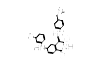 COc1cccc(Nc2ccc3c(c2)/C(=C/Nc2ccc(CN(C)C)cc2)C(=O)NC3=O)c1